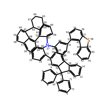 c1ccc(C2(c3ccccc3)c3ccccc3-c3ccc(-c4ccccc4N(c4cccc(-c5cccc6sc7ccccc7c56)c4)c4ccccc4-c4cccc5cccc(C6CCCCC6)c45)cc32)cc1